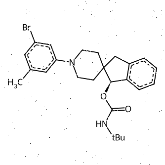 Cc1cc(Br)cc(N2CCC3(CC2)Cc2ccccc2[C@H]3OC(=O)NC(C)(C)C)c1